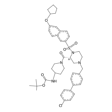 CC(C)(C)OC(=O)NC1CCN(C(=O)[C@H]2CN(Cc3ccc(-c4ccc(Cl)cc4)cc3)CCN2S(=O)(=O)c2ccc3cc(OC4CCCC4)ccc3c2)CC1